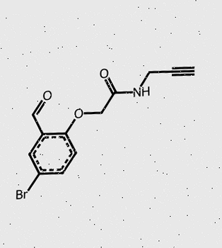 C#CCNC(=O)COc1ccc(Br)cc1C=O